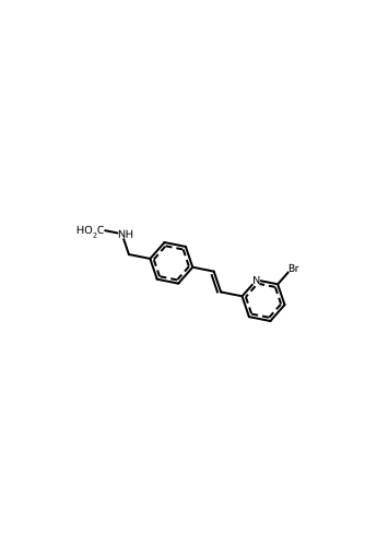 O=C(O)NCc1ccc(C=Cc2cccc(Br)n2)cc1